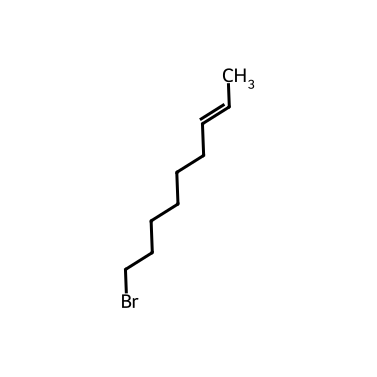 C/C=C/CCCCCCBr